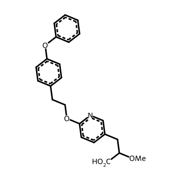 COC(Cc1ccc(OCCc2ccc(Oc3ccccc3)cc2)nc1)C(=O)O